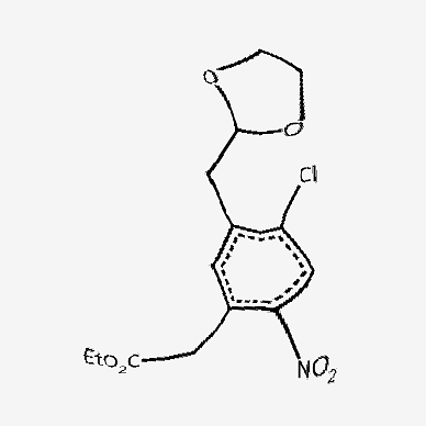 CCOC(=O)Cc1cc(CC2OCCO2)c(Cl)cc1[N+](=O)[O-]